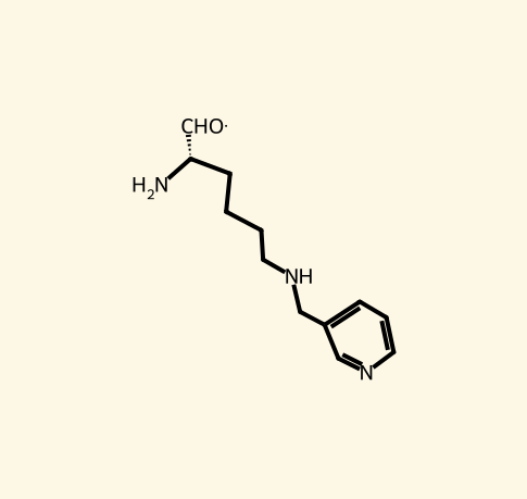 N[C@H]([C]=O)CCCCNCc1cccnc1